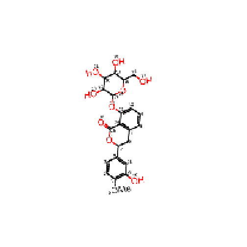 COc1ccc(C2Cc3cccc(OC4OC(CO)C(O)C(O)C4O)c3C(=O)O2)cc1O